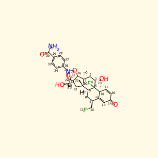 C[C@]12C[C@H](O)[C@@]3(F)[C@@H](C[C@H](CF)C4=CC(=O)C=C[C@@]43C)[C@]1(C)C[C@H]1CN(c3ccc(C(N)=O)cc3)O[C@]12C(=O)CO